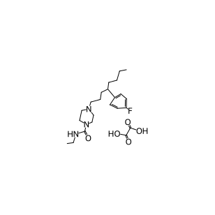 CCCCC(CCCN1CCN(C(=O)NCC)CC1)c1ccc(F)cc1.O=C(O)C(=O)O